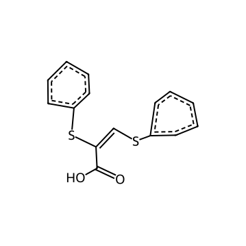 O=C(O)/C(=C\Sc1ccccc1)Sc1ccccc1